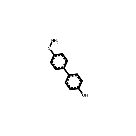 NSc1ccc(-c2ccc(O)cc2)cc1